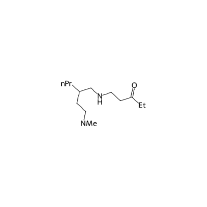 CCCC(CCNC)CNCCC(=O)CC